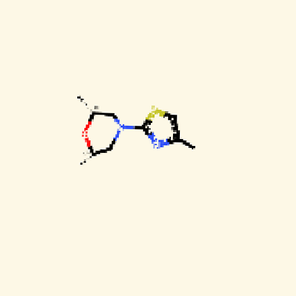 Cc1csc(N2C[C@@H](C)O[C@@H](C)C2)n1